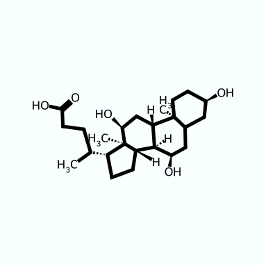 CC(CCC(=O)O)[C@H]1CC[C@H]2[C@@H]3[C@H](O)CC4C[C@H](O)CC[C@]4(C)[C@H]3C[C@H](O)[C@]12C